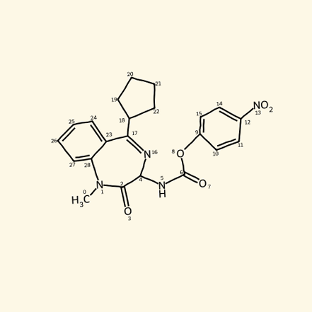 CN1C(=O)C(NC(=O)Oc2ccc([N+](=O)[O-])cc2)N=C(C2CCCC2)c2ccccc21